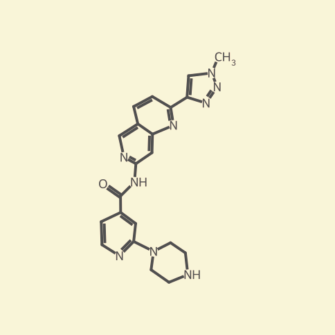 Cn1cc(-c2ccc3cnc(NC(=O)c4ccnc(N5CCNCC5)c4)cc3n2)nn1